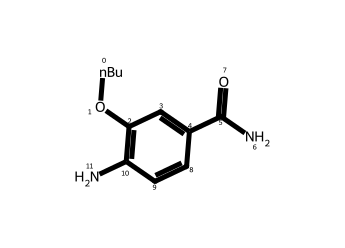 CCCCOc1cc(C(N)=O)ccc1N